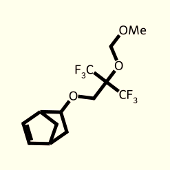 COCOC(COC1CC2C=CC1C2)(C(F)(F)F)C(F)(F)F